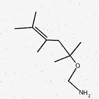 CC(C)=C(C)CC(C)(C)OCN